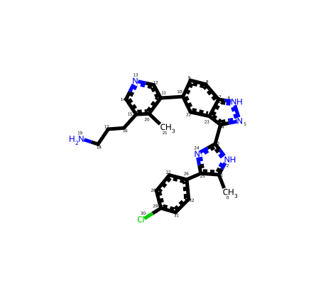 Cc1[nH]c(-c2n[nH]c3ccc(-c4cncc(CCCN)c4C)cc23)nc1-c1ccc(Cl)cc1